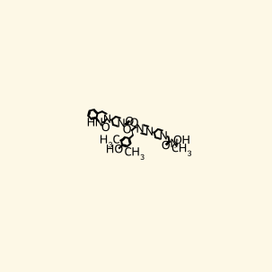 Cc1cc(C[C@@H](OC(=O)N2CCC(N3CCc4ccccc4NC3=O)CC2)C(=O)N2CCN(C3CCN(CC(=O)N(C)O)CC3)CC2)cc(C)c1O